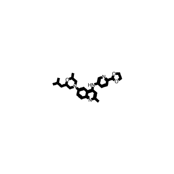 Cc1cc(Nc2ccc(C3OCCO3)nc2)c2cc(N3CC(C)OC(CC(C)C)C3)ccc2n1